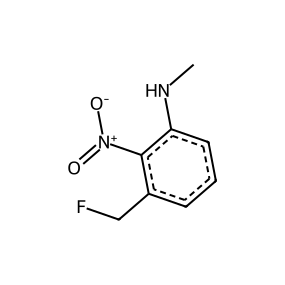 CNc1cccc(CF)c1[N+](=O)[O-]